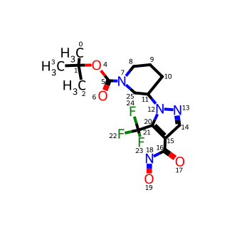 CC(C)(C)OC(=O)N1CCCC(n2ncc(C(=O)N=O)c2C(F)(F)F)C1